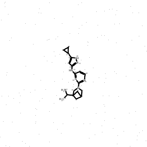 CC(N)C12CC(CN(c3nccc(Nc4cc(C5CC5)[nH]n4)n3)C1)C2